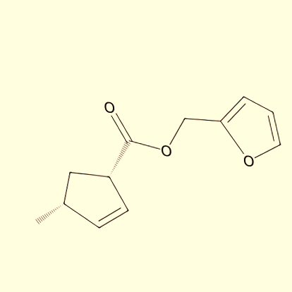 C[C@H]1C=C[C@@H](C(=O)OCc2ccco2)C1